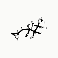 CC(F)(C(F)(F)CC1CO1)C(F)(F)C(F)(F)F